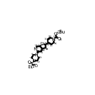 CCS(=O)(=O)N1CCN(c2cc3c(cn2)OC(C2=CCN(C(=O)OC(C)(C)C)C=C2)C3)CC1